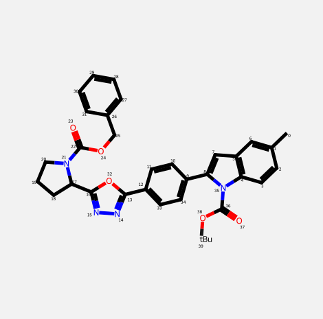 Cc1ccc2c(c1)cc(-c1ccc(-c3nnc(C4CCCN4C(=O)OCc4ccccc4)o3)cc1)n2C(=O)OC(C)(C)C